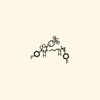 CC1(NCCCC[C@H](NC(=O)c2ccc(F)cc2)C(=O)N2CCN(S(C)(=O)=O)CC2)C[C@H]1c1ccc(F)cc1